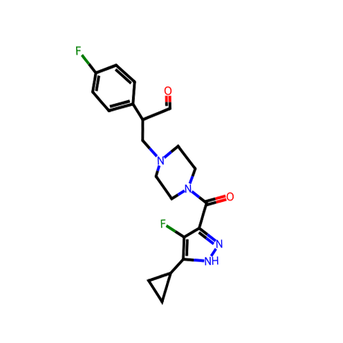 O=CC(CN1CCN(C(=O)c2n[nH]c(C3CC3)c2F)CC1)c1ccc(F)cc1